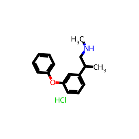 CNCC(C)c1cccc(Oc2ccccc2)c1.Cl